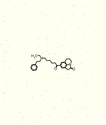 CCN(CCCCCC(=O)c1cc2c3c(c1)CC(=O)N3CCC2)CCc1ccccc1